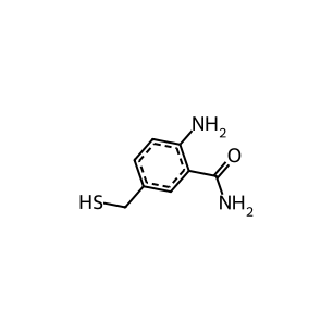 NC(=O)c1cc(CS)ccc1N